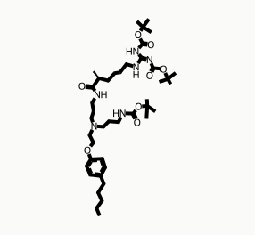 CCCCCc1ccc(OCCN(CCCNC(=O)OC(C)(C)C)CCCNC(=O)[C@@H](C)CCCCN/C(=N\C(=O)OC(C)(C)C)NC(=O)OC(C)(C)C)cc1